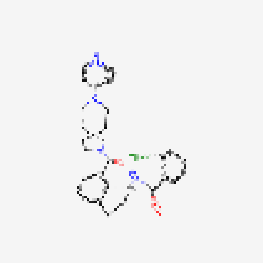 O=C(N[C@@H]1CCc2cccc(C(=O)N3CCC4(CCN(c5ccncc5)CC4)C3)c21)c1ccccc1Cl